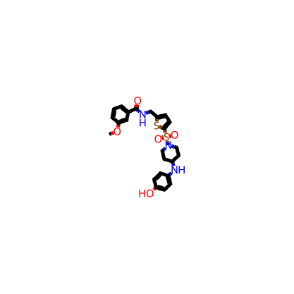 COc1cccc(C(=O)NCc2ccc(S(=O)(=O)N3CCC(Nc4ccc(O)cc4)CC3)s2)c1